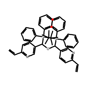 C=Cc1ccc(C(OC(c2ccc(C=C)nc2)[Si](c2ccccc2)(c2ccccc2)C(C)(C)C)[Si](c2ccccc2)(c2ccccc2)C(C)(C)C)cn1